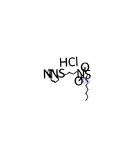 CCCCC/C=C1/SC(=O)N(CCCCSc2cccc3nccn23)C1=O.Cl